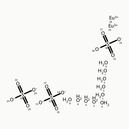 O.O.O.O.O.O.O.O.O.O.O=S(=O)([O-])[O-].O=S(=O)([O-])[O-].O=S(=O)([O-])[O-].[Eu+3].[Eu+3]